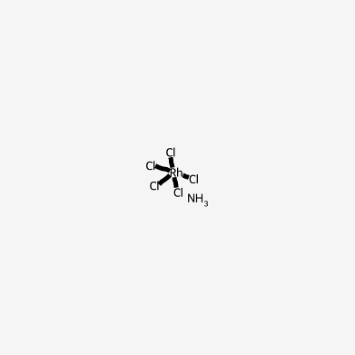 N.[Cl][Rh]([Cl])([Cl])([Cl])[Cl]